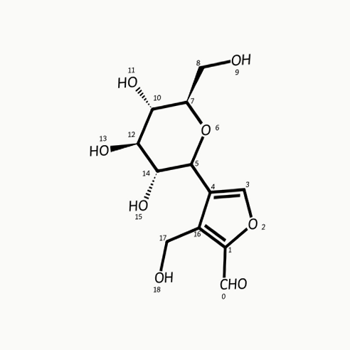 O=Cc1occ(C2O[C@H](CO)[C@@H](O)[C@H](O)[C@H]2O)c1CO